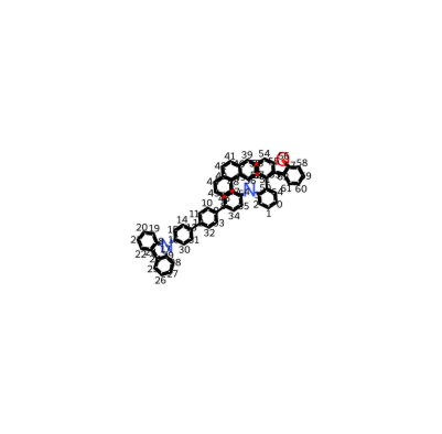 c1ccc(N(c2ccc(-c3ccc(-c4ccc(-n5c6ccccc6c6ccccc65)cc4)cc3)cc2)c2cccc3ccc4ccccc4c23)c(-c2cccc3oc4ccccc4c23)c1